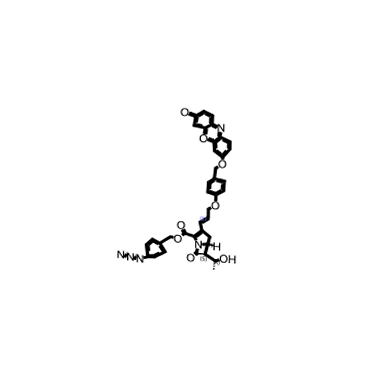 C[C@@H](O)[C@H]1C(=O)N2C(C(=O)OCc3ccc(N=[N+]=[N-])cc3)=C(/C=C/COc3ccc(COc4ccc5nc6ccc(=O)cc-6oc5c4)cc3)C[C@H]12